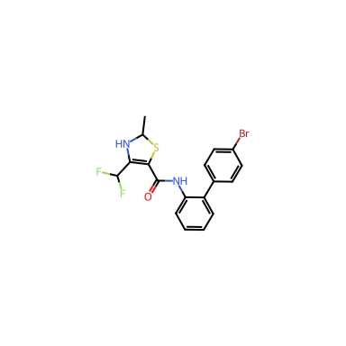 CC1NC(C(F)F)=C(C(=O)Nc2ccccc2-c2ccc(Br)cc2)S1